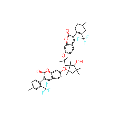 Cc1ccc(-c2cc3ccc(OC4(C)CC(C)(C)C(O)C4(C)CC(C)(C)Oc4ccc5cc(C6=C(C(F)(F)F)CC(C)CC6)c(=O)oc5c4)cc3oc2=O)c(C(F)(F)F)c1